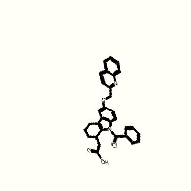 O=C(O)CC1CCCc2c1n(C(Cl)c1ccccc1)c1ccc(OCc3ccc4ccccc4n3)cc21